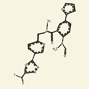 CN(Cc1ccc(-c2nnc(C(F)F)o2)cn1)C(=O)c1cc(-c2ccco2)ccc1N(C)C=O